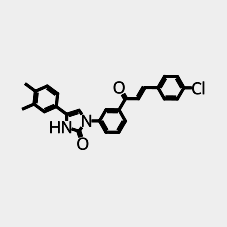 Cc1ccc(-c2cn(-c3cccc(C(=O)C=Cc4ccc(Cl)cc4)c3)c(=O)[nH]2)cc1C